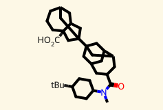 CN(C(=O)C1CC2CC3CC(C45CC6CCCC(C(=O)O)(C4)C(C6)C5)(C2)CC3C1)C1CCC(C(C)(C)C)CC1